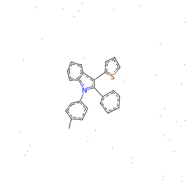 Cc1ccc(-n2c(-c3ccccc3)c(-c3cccs3)c3ccccc32)cc1